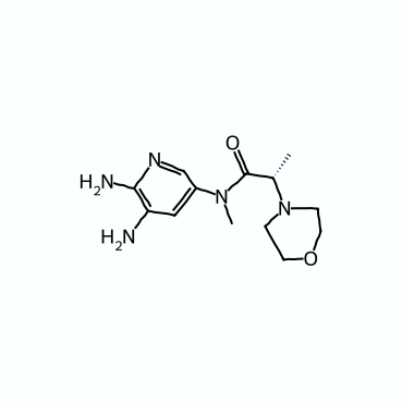 C[C@@H](C(=O)N(C)c1cnc(N)c(N)c1)N1CCOCC1